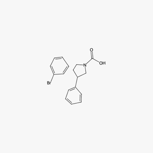 Brc1ccccc1.O=C(O)N1CCC(c2ccccc2)C1